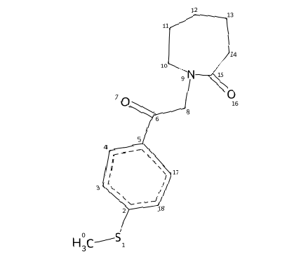 CSc1ccc(C(=O)CN2CCCCCC2=O)cc1